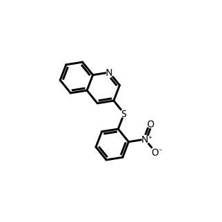 O=[N+]([O-])c1ccccc1Sc1cnc2ccccc2c1